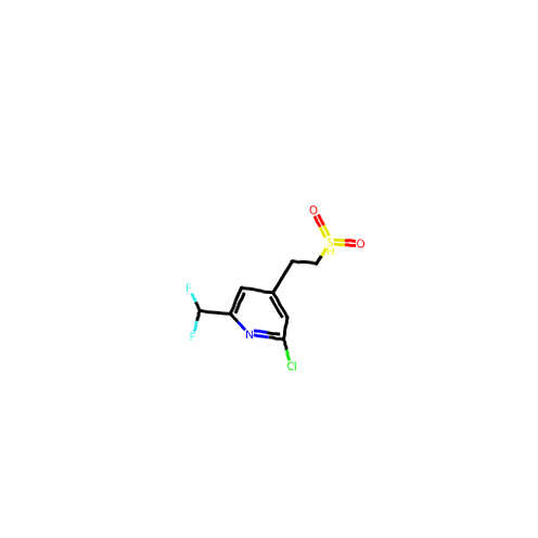 O=[SH](=O)CCc1cc(Cl)nc(C(F)F)c1